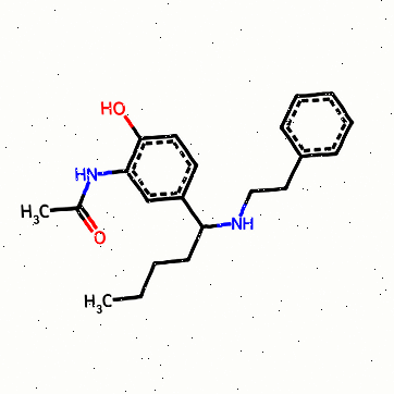 CCCCC(NCCc1ccccc1)c1ccc(O)c(NC(C)=O)c1